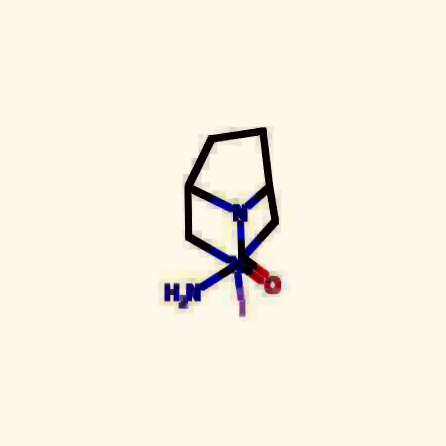 NC(=O)N1C2CCC1CN(I)C2